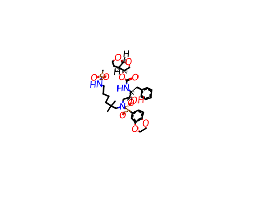 CC(C)(CCCCNS(C)(=O)=O)CN(C[C@@H](O)[C@H](Cc1ccccc1)NC(=O)O[C@H]1CO[C@H]2OCC[C@H]21)S(=O)(=O)c1ccc2c(c1)OCCO2